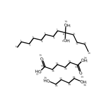 CCCCCCCCC(O)(O)CCCC.O=C(O)CCCCC(=O)O.OCCCCO